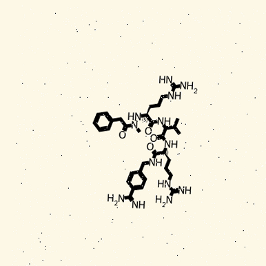 CC(C)C(NC(=O)[C@H](CCCNC(=N)N)NN(C)C(=O)Cc1ccccc1)C(=O)N[C@@H](CCCNC(=N)N)C(=O)NCc1ccc(C(=N)N)cc1